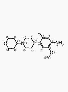 Cc1cc(N)c(OC(C)C)cc1C1CCN(C2CCOCC2)CC1